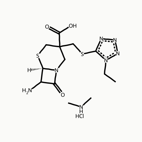 CCn1nnnc1SCC1(C(=O)O)CS[C@@H]2C(N)C(=O)N2C1.CNC.Cl